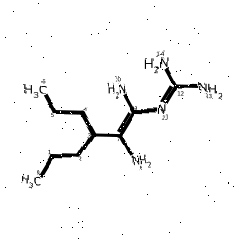 CCCC(CCC)/C(N)=C(\N)N=C(N)N